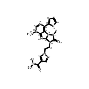 CCN(CC)C(=O)c1cnn(CCN2C(=O)N(C)N3C4=C(c5ccco5)N=CN(N)C4=NC23)c1